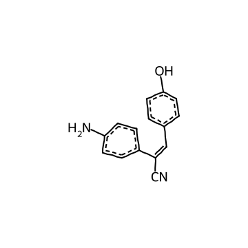 N#CC(=Cc1ccc(O)cc1)c1ccc(N)cc1